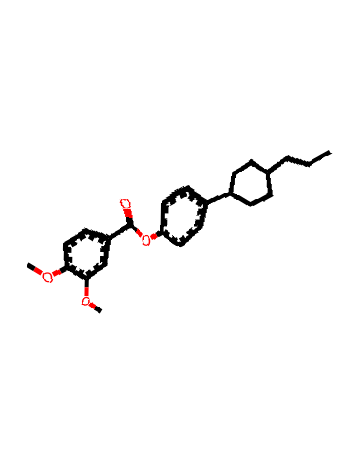 CCCC1CCC(c2ccc(OC(=O)c3ccc(OC)c(OC)c3)cc2)CC1